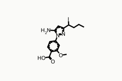 CCCC(I)c1cc(N)n(-c2ccc(C(=O)O)c(OC)c2)n1